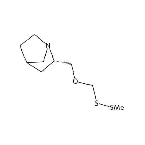 CSSCOC[C@@H]1CC2CCN1C2